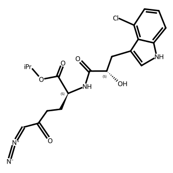 CC(C)OC(=O)[C@H](CCC(=O)C=[N+]=[N-])NC(=O)[C@@H](O)Cc1c[nH]c2cccc(Cl)c12